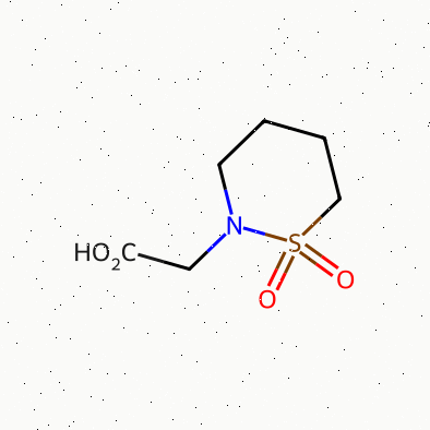 O=C(O)CN1CCCCS1(=O)=O